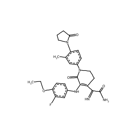 CCOc1ccc(NC2=C(C(=N)C(N)=O)CCN(c3ccc(N4CCCC4=O)c(C)c3)C2=O)cc1F